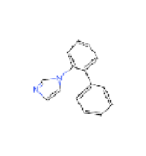 c1ccc(-c2ccccc2-n2ccnc2)cc1